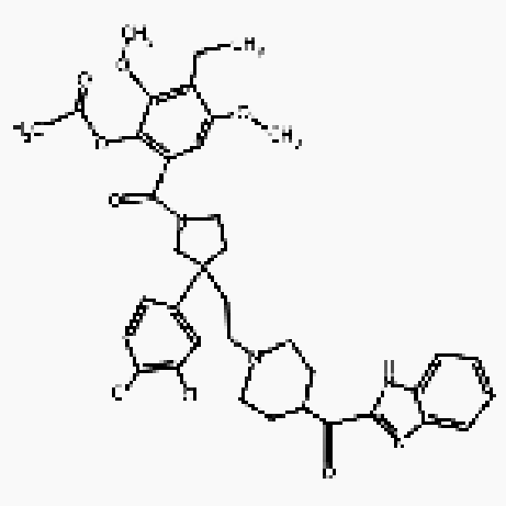 CCc1c(OC)cc(C(=O)N2CCC(CCN3CCC(C(=O)c4nc5ccccc5[nH]4)CC3)(c3ccc(Cl)c(Cl)c3)C2)c(OC(C)=O)c1OC